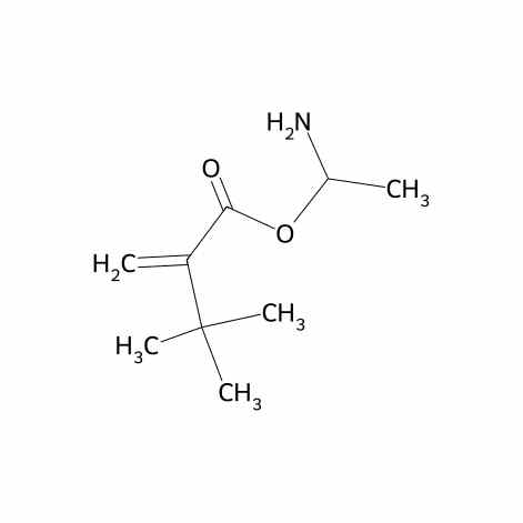 C=C(C(=O)OC(C)N)C(C)(C)C